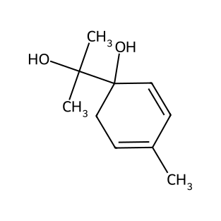 CC1=CCC(O)(C(C)(C)O)C=C1